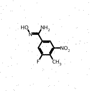 Cc1c(F)cc(C(N)=NO)cc1[N+](=O)[O-]